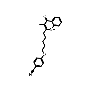 Cc1c(CCCCCOc2ccc(C#N)cc2)[nH]c2ccccc2c1=O